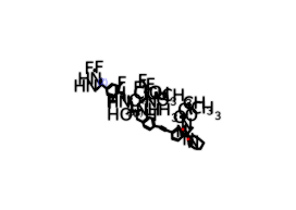 COC(=O)N[C@H](C(=O)N[C@@H](Cc1ccc(C#Cc2ccc(N3CC4CCC(C3)N4CC3CN(C(=O)OC(C)(C)C)C3)nc2)cc1)[C@@H](O)CNCc1c(F)cc(/C(C=N)=C/NC(F)F)cc1F)C(C)(C)C(F)(F)F